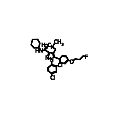 CN(C)Cc1c(C(=O)NC2CCCCC2)nn(-c2ccc(Cl)cc2Cl)c1-c1ccc(OCCCF)cc1